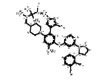 COc1cc(N2CCC(CN(C)C(C)(C)CF)CC2)c(-c2cn(C)nc2F)cc1Nc1cc(N2OCC[C@@H]2c2cccc(F)c2F)ncn1